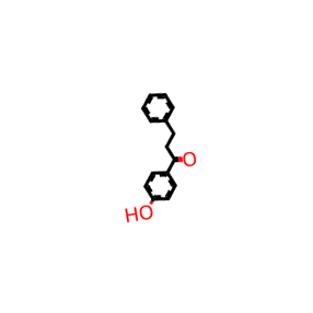 O=C(CCc1ccccc1)c1ccc(O)cc1